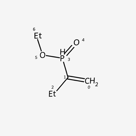 C=C(CC)[PH](=O)OCC